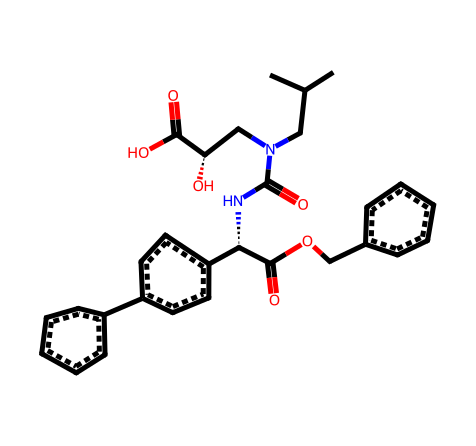 CC(C)CN(C[C@H](O)C(=O)O)C(=O)N[C@H](C(=O)OCc1ccccc1)c1ccc(-c2ccccc2)cc1